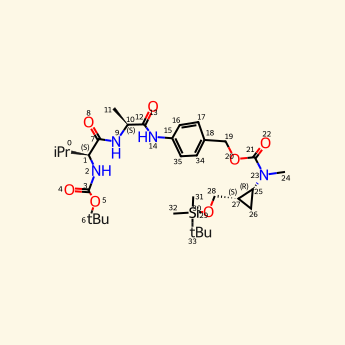 CC(C)[C@H](NC(=O)OC(C)(C)C)C(=O)N[C@@H](C)C(=O)Nc1ccc(COC(=O)N(C)[C@@H]2C[C@@H]2CO[Si](C)(C)C(C)(C)C)cc1